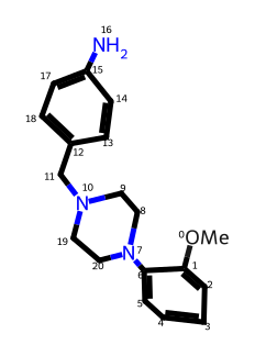 COc1ccccc1N1CCN(Cc2ccc(N)cc2)CC1